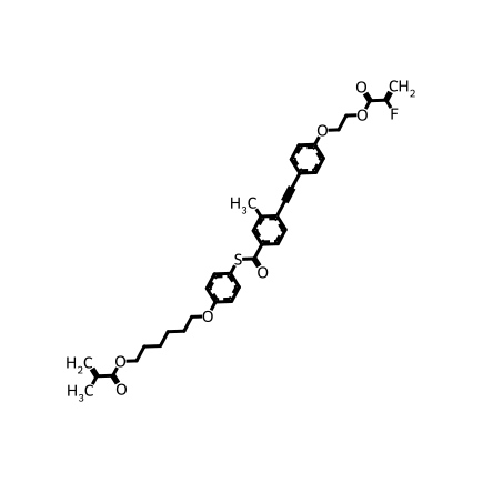 C=C(C)C(=O)OCCCCCCOc1ccc(SC(=O)c2ccc(C#Cc3ccc(OCCOC(=O)C(=C)F)cc3)c(C)c2)cc1